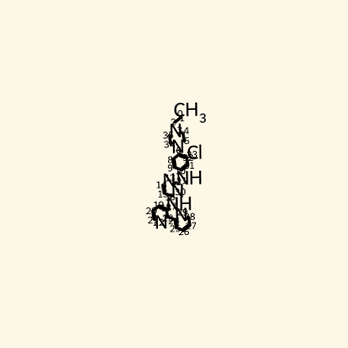 CCCN1CCN(c2ccc(Nc3nccc(Nc4cccnc4-c4ccccn4)n3)cc2Cl)CC1